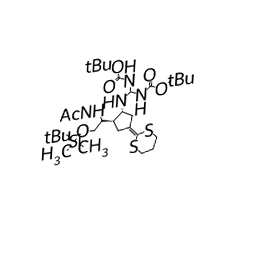 CC(=O)NC(CO[Si](C)(C)C(C)(C)C)[C@@H]1CC(=C2SCCCS2)C[C@H]1NC(NC(=O)OC(C)(C)C)NC(=O)OC(C)(C)C